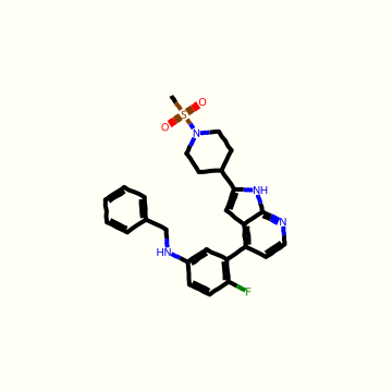 CS(=O)(=O)N1CCC(c2cc3c(-c4cc(NCc5ccccc5)ccc4F)ccnc3[nH]2)CC1